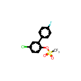 O=S(=O)(Oc1ccc(Cl)cc1-c1ccc(F)cc1)C(F)(F)F